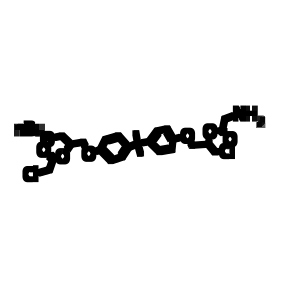 CCCCOCC(COc1ccc(C(C)(C)c2ccc(OCC(CCl)OC(=O)CN)cc2)cc1)OC(=O)CCl